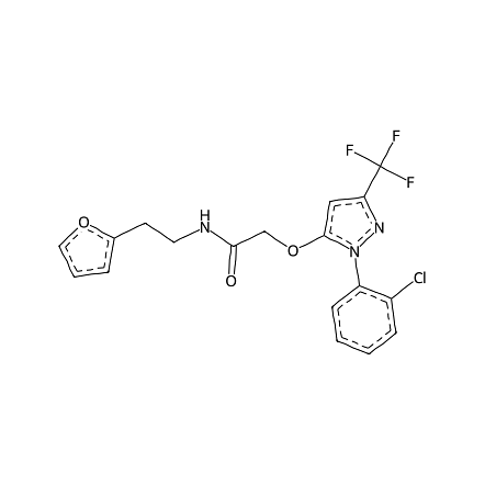 O=C(COc1cc(C(F)(F)F)nn1-c1ccccc1Cl)NCCc1ccco1